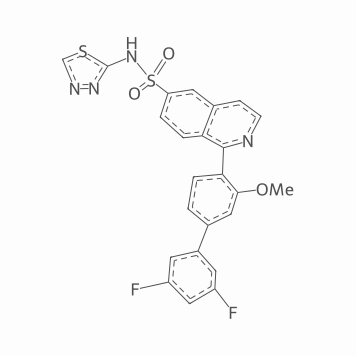 COc1cc(-c2cc(F)cc(F)c2)ccc1-c1nccc2cc(S(=O)(=O)Nc3nncs3)ccc12